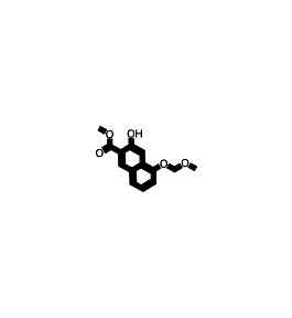 COCOc1cccc2cc(C(=O)OC)c(O)cc12